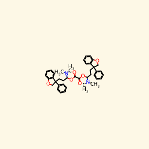 CN(C)C(CCC1(c2ccccc2)COc2ccccc21)OC(=O)C(=O)OC(CCC1(c2ccccc2)COc2ccccc21)N(C)C